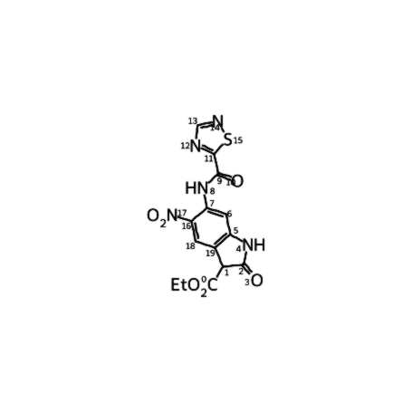 CCOC(=O)C1C(=O)Nc2cc(NC(=O)c3ncns3)c([N+](=O)[O-])cc21